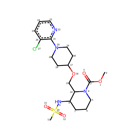 COC(=O)N1CCCC(NS(C)(=O)=O)C1COC1CCN(c2ncccc2Cl)CC1